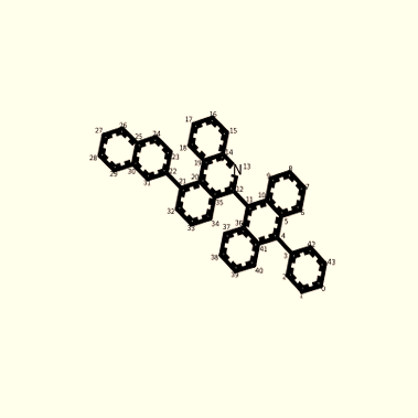 c1ccc(-c2c3ccccc3c(-c3nc4ccccc4c4c(-c5ccc6ccccc6c5)cccc34)c3ccccc23)cc1